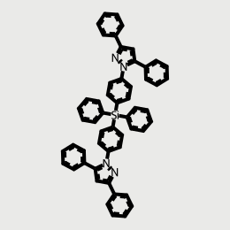 c1ccc(-c2cc(-c3ccccc3)n(-c3ccc([Si](c4ccccc4)(c4ccccc4)c4ccc(-n5nc(-c6ccccc6)cc5-c5ccccc5)cc4)cc3)n2)cc1